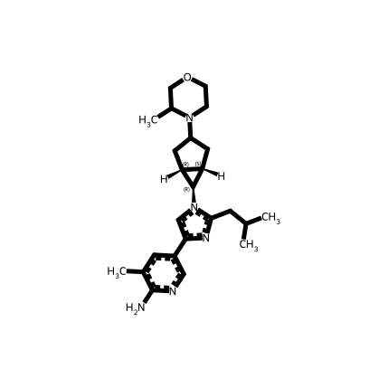 Cc1cc(-c2cn([C@H]3[C@@H]4CC(N5CCOCC5C)C[C@@H]43)c(CC(C)C)n2)cnc1N